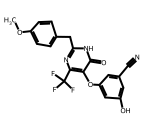 COc1ccc(Cc2nc(C(F)(F)F)c(Oc3cc(O)cc(C#N)c3)c(=O)[nH]2)cc1